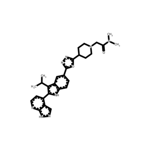 CC(C)c1c(-c2ccnc3[nH]ncc23)[nH]c2ccc(-c3nnc(C4CCN(CC(=O)N(C)C)CC4)o3)cc12